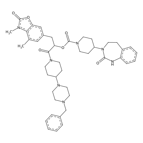 Cc1cc(CC(OC(=O)N2CCC(N3CCc4ccccc4NC3=O)CC2)C(=O)N2CCC(N3CCN(Cc4ccccc4)CC3)CC2)cc2oc(=O)n(C)c12